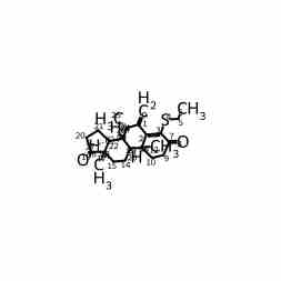 C=C1C2=C(SCC)C(=O)CC[C@]2(C)[C@H]2CC[C@]3(C)C(=O)CC[C@H]3[C@@H]2[C@@H]1C